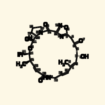 CC1=C\[C@@H](O)CC(=O)Cc2nc(no2)C(=O)N2CCC[C@@H]2C(=O)O[C@H](C(C)C)[C@H](C)/C=C/C(=O)NC\C=C\1